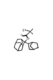 CCC(C)(C)C(=O)OC1(C2CC3CCC2C3)C2CC3CC(C2)CC1C3